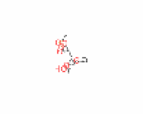 CCCCS(=O)(=O)Oc1ccc(CC=Cc2ccc(C=C(C)C(=O)O)cc2OCc2ccccc2)cc1OC